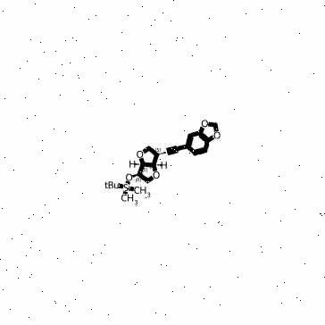 CC(C)(C)[Si](C)(C)O[C@@H]1CO[C@H]2[C@@H]1OC[C@@H]2C#Cc1ccc2c(c1)OCO2